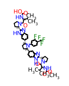 COC(=O)N[C@H](C(=O)N1CCC[C@H]1c1nc2cc([C@H]3CC[C@H](c4ccc5nc([C@@H]6CCCN6C(=O)[C@@H](NC(=O)O)C(C)C)[nH]c5c4)N3c3ccc(C(F)(F)F)c(F)c3)ccc2[nH]1)C(C)C